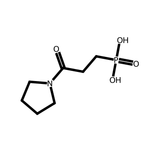 O=C(CCP(=O)(O)O)N1CCCC1